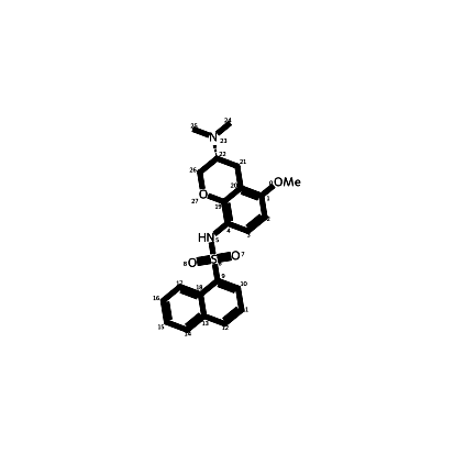 COc1ccc(NS(=O)(=O)c2cccc3ccccc23)c2c1C[C@@H](N(C)C)CO2